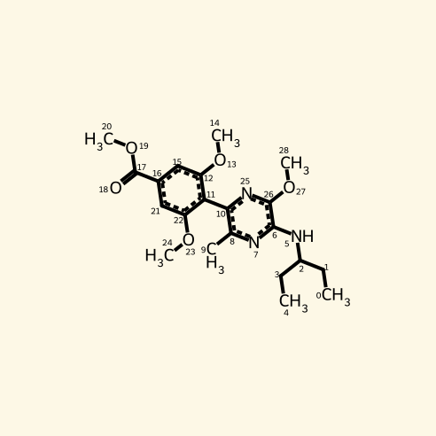 CCC(CC)Nc1nc(C)c(-c2c(OC)cc(C(=O)OC)cc2OC)nc1OC